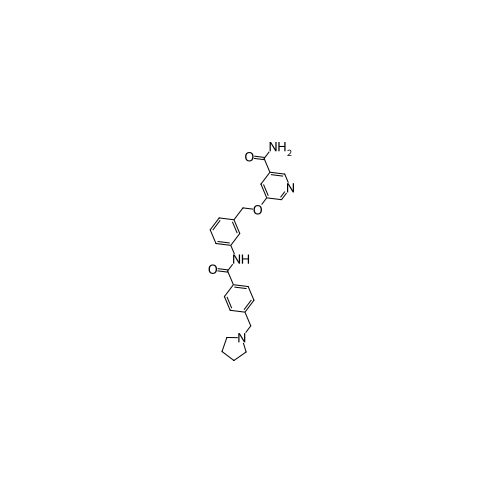 NC(=O)c1cncc(OCc2cccc(NC(=O)c3ccc(CN4CCCC4)cc3)c2)c1